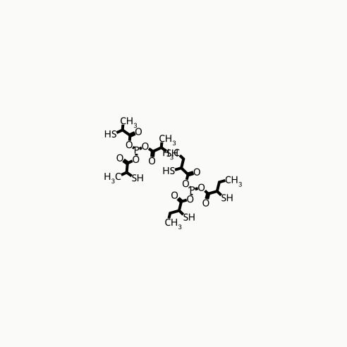 CC(S)C(=O)OP(OC(=O)C(C)S)OC(=O)C(C)S.CCC(S)C(=O)OP(OC(=O)C(S)CC)OC(=O)C(S)CC